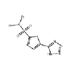 CCN(CC)S(=O)(=O)c1ccc(-c2nnn[nH]2)s1